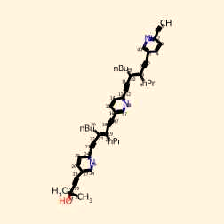 C#Cc1ccc(C#C/C(CCC)=C(/C#Cc2ccc(C#C/C(CCC)=C(/C#Cc3ccc(C#CC(C)(C)O)cn3)CCCC)cn2)CCCC)cn1